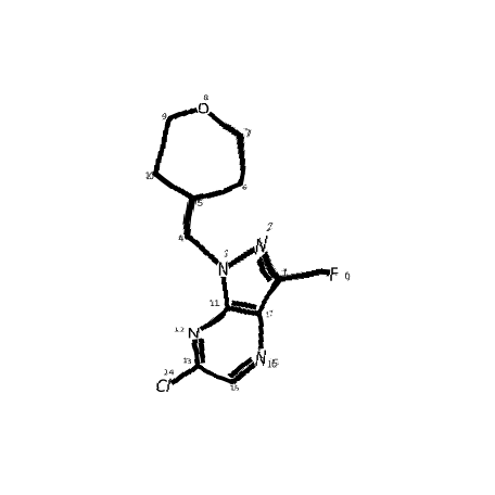 Fc1nn(CC2CCOCC2)c2nc(Cl)cnc12